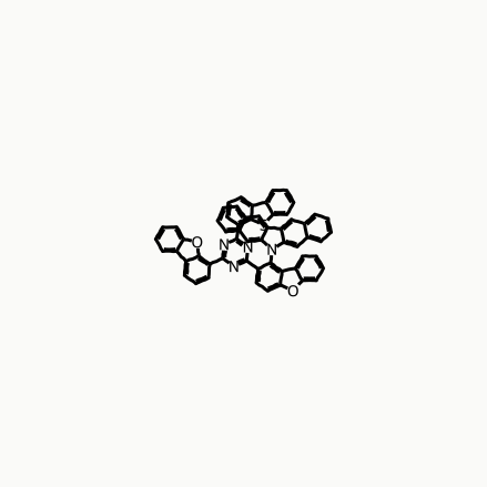 c1ccc2cc3c(cc2c1)c1cc2ccccc2cc1n3-c1c(-c2nc(-c3cccc4c3oc3ccccc34)nc(-c3cccc4c3sc3ccccc34)n2)ccc2oc3ccccc3c12